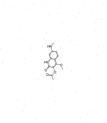 CNc1ccc2c(OC)c(OC(C)=O)c(=O)[nH]c2c1